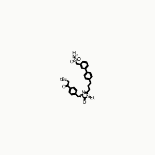 CCn1c(CCCc2ccc(-c3cccc(CS(N)(=O)=O)c3)cc2)nn(Cc2ccc(C(=O)CC(C)(C)C)cc2)c1=O